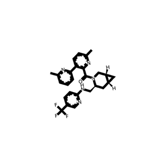 Cc1cccc(-c2ccc(C)nc2C(=O)N2C[C@@H]3C[C@@H]3C[C@H]2CNc2ccc(C(F)(F)F)cn2)n1